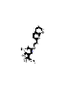 C=C/C(=C\c1cn[nH]c1C)OCCc1ccc2c(n1)NCCC2